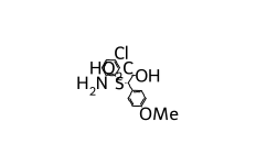 COc1ccc([C@H](Sc2cc(Cl)ccc2N)[C@@H](O)C(=O)O)cc1